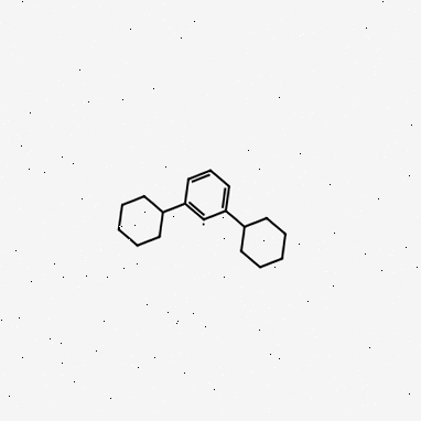 [c]1c(C2CCCCC2)cccc1C1CCCCC1